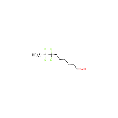 O=S(=O)(O)C(F)(F)C(F)(F)CCCCCCO